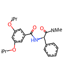 CNC(=O)[C@H](NC(=O)c1cc(OC(C)C)cc(OC(C)C)c1)c1ccccc1